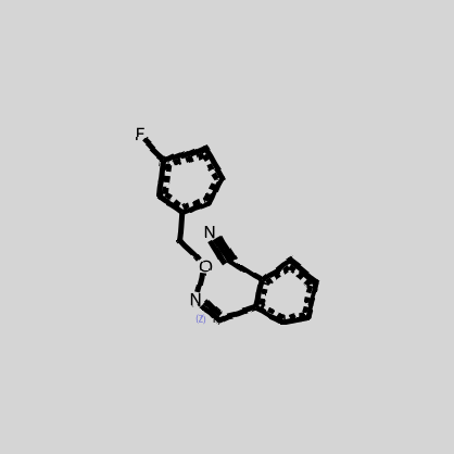 N#Cc1ccccc1/[C]=N\OCc1cccc(F)c1